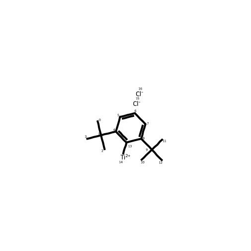 CC(C)(C)c1cccc(C(C)(C)C)[c]1[Ti+2].[Cl-].[Cl-]